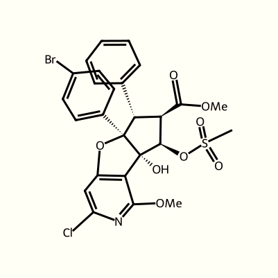 COC(=O)[C@H]1[C@@H](OS(C)(=O)=O)[C@@]2(O)c3c(cc(Cl)nc3OC)O[C@@]2(c2ccc(Br)cc2)[C@@H]1c1ccccc1